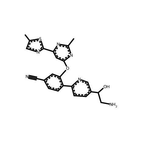 Cc1nc(Oc2cc(C#N)ccc2-c2ccc(C(O)CN)cn2)cc(-c2ncc(C)s2)n1